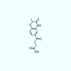 CC1Oc2ccc(C(=O)CCC(=O)O)cc2NC1=S